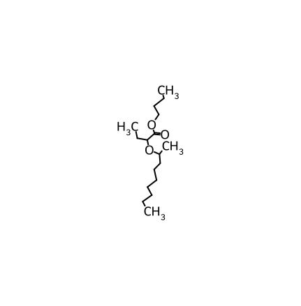 CCCCCCCC(C)OC(CC)C(=O)OCCCC